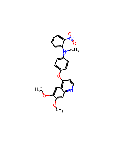 COc1cc2nccc(Oc3ccc(N(C)c4ccccc4[N+](=O)[O-])cc3)c2cc1OC